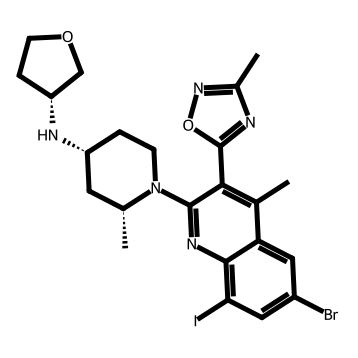 Cc1noc(-c2c(N3CC[C@@H](N[C@@H]4CCOC4)C[C@H]3C)nc3c(I)cc(Br)cc3c2C)n1